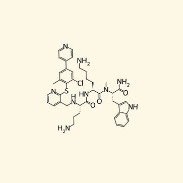 Cc1cc(-c2ccncc2)cc(Cl)c1Sc1ncccc1CN[C@@H](CCCN)C(=O)N[C@@H](CCCCN)C(=O)N(C)[C@@H](Cc1c[nH]c2ccccc12)C(N)=O